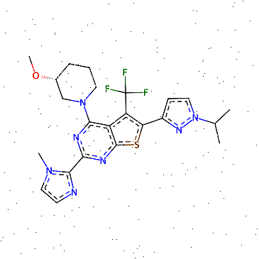 CO[C@@H]1CCCN(c2nc(-c3nccn3C)nc3sc(-c4ccn(C(C)C)n4)c(C(F)(F)F)c23)C1